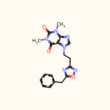 Cn1c(=O)c2c(ncn2CCc2noc(Cc3ccccc3)n2)n(C)c1=O